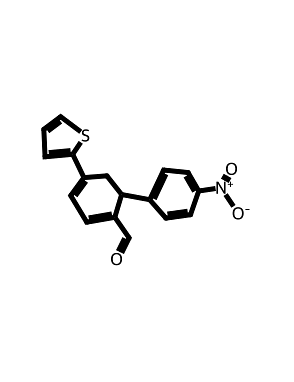 O=CC1=CC=C(c2cccs2)CC1c1ccc([N+](=O)[O-])cc1